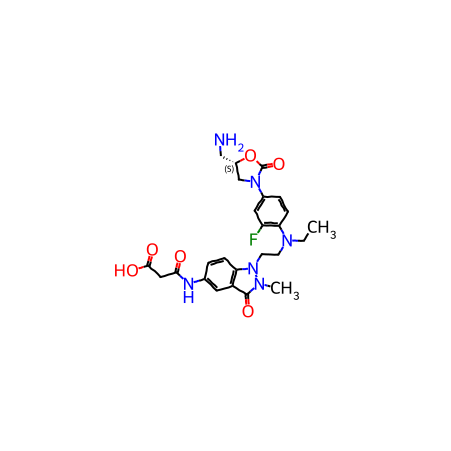 CCN(CCn1c2ccc(NC(=O)CC(=O)O)cc2c(=O)n1C)c1ccc(N2C[C@H](CN)OC2=O)cc1F